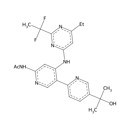 CCc1cc(Nc2cc(NC(C)=O)ncc2-c2ccc(C(C)(C)O)cn2)nc(C(C)(F)F)n1